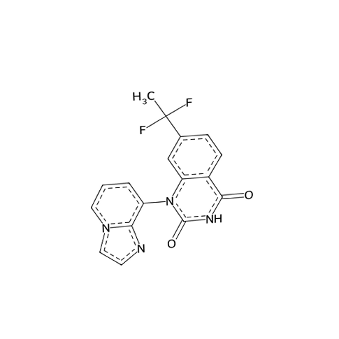 CC(F)(F)c1ccc2c(=O)[nH]c(=O)n(-c3cccn4ccnc34)c2c1